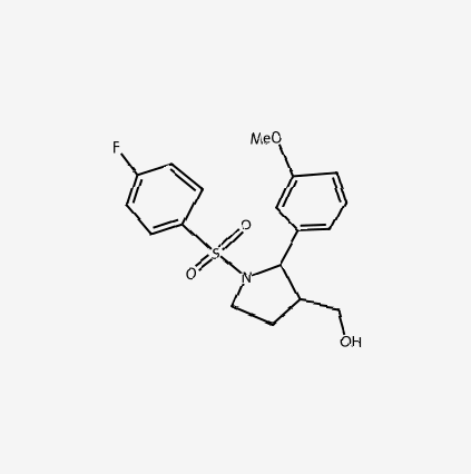 COc1cccc(C2C(CO)CCN2S(=O)(=O)c2ccc(F)cc2)c1